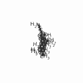 C=C(C)[C@@H]1CC[C@]2(C(=O)N(CC(=O)O)C(=O)CCCCCCCN)CC[C@]3(C)[C@H](CC[C@@H]4[C@@]5(C)CC[C@H](OC(C)=O)C(C)(C)[C@@H]5CC[C@]43C)[C@@H]12